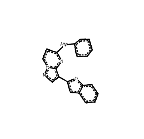 c1ccc(Nc2ccn3ncc(-c4cc5ccccc5o4)c3n2)cc1